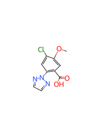 COc1cc(C(=O)O)c(-n2nccn2)cc1Cl